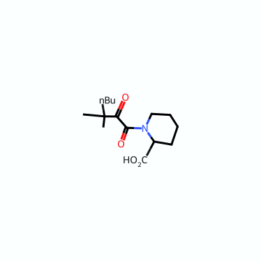 CCCCC(C)(C)C(=O)C(=O)N1CCCCC1C(=O)O